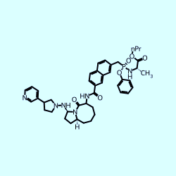 CCCOC(=O)[C@H](C)NP(=O)(Cc1ccc2ccc(C(=O)NC3CCCC[C@H]4CC[C@@H](NN5CCC(c6cccnc6)C5)N4C3=O)cc2c1)Oc1ccccc1